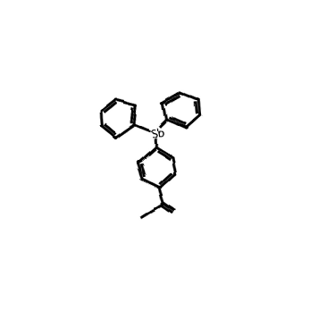 C=C(C)c1cc[c]([Sb]([c]2ccccc2)[c]2ccccc2)cc1